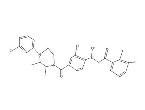 CC1C(C)N(c2cccc(Cl)c2)CCN1C(=O)c1ccc([S+]([O-])CC(=O)c2cccc(F)c2F)c(Cl)c1